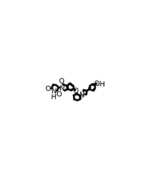 O=C1CCC(N2Cc3cc(O[C@@H]4CCCC[C@@H]4N4CC(c5ccc(O)cc5)C4)ccc3C2=O)C(=O)N1